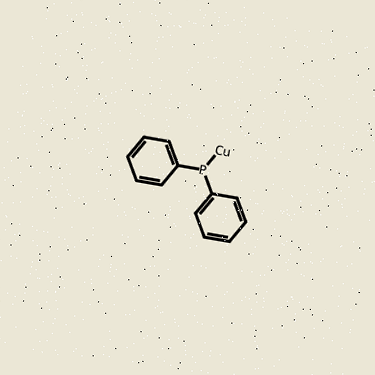 [Cu][P](c1ccccc1)c1ccccc1